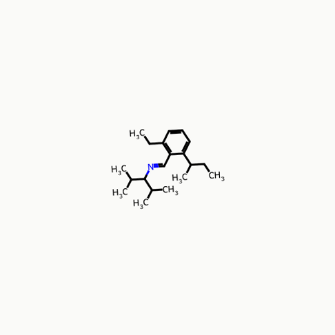 CCc1cccc(C(C)CC)c1C=NC(C(C)C)C(C)C